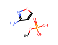 CC(C)OP(=O)(O)O.Nc1ccon1